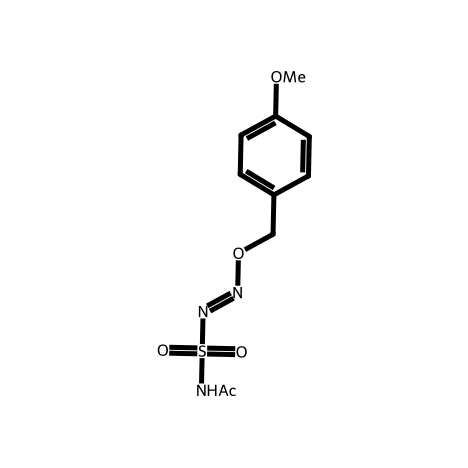 COc1ccc(CON=NS(=O)(=O)NC(C)=O)cc1